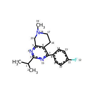 CC(C)c1nc2c(c(-c3ccc(F)cc3)n1)CCN(C)C2